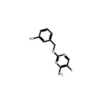 Nc1nc(OCc2cccc(O)c2)ncc1F